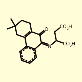 CC1(C)CCC2=C(C1)c1ccccc1/C(=N/C(CC(=O)O)C(=O)O)C2=O